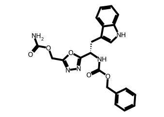 NC(=O)OCc1nnc([C@H](Cc2c[nH]c3ccccc23)NC(=O)OCc2ccccc2)o1